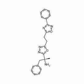 C[C@@](N)(Cc1ccccc1)c1nnc(CCc2nc(-c3ccccc3)no2)o1